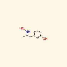 CC(Cc1cccc(O)c1)NO